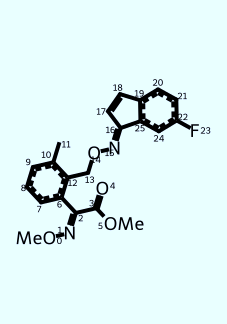 CO/N=C(/C(=O)OC)c1cccc(C)c1CO/N=C1\C=Cc2ccc(F)cc21